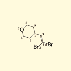 BrC(Br)=CC1CCOCC1